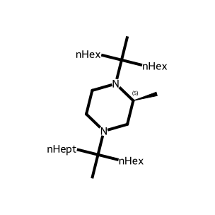 CCCCCCCC(C)(CCCCCC)N1CCN(C(C)(CCCCCC)CCCCCC)[C@@H](C)C1